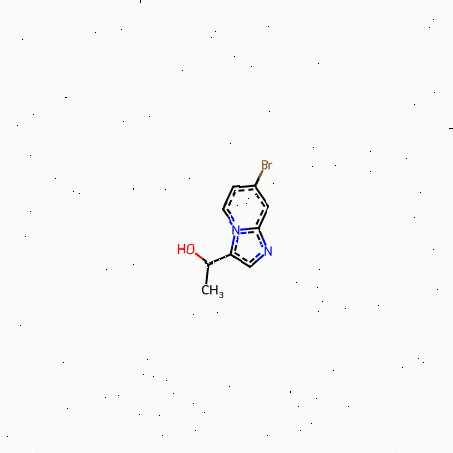 CC(O)c1cnc2cc(Br)ccn12